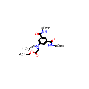 CCCCCCCCCCNC(=O)c1cc(C(=O)NCCCCCCCCCC)cc(N(CC(=O)O)CC(=O)OCOC(C)=O)c1